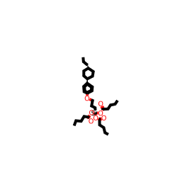 CCCCC(=O)O[Si](CCCOc1ccc([C@H]2CC[C@H](CCC)CC2)cc1)(OC(=O)CCCC)OC(=O)CCCC